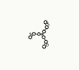 c1ccc2c(c1)oc1ccc(-c3ccc(N(c4ccc(-c5ccc6sc7ccccc7c6c5)cc4)c4ccc(-c5ccc6sc7ccccc7c6c5)cc4)cc3)cc12